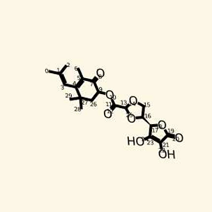 CC(C)=CC1=C(C)C(=O)C(OC(=O)C2OCC([C@H]3OC(=O)C(O)=C3O)O2)CC1(C)C